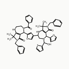 CC1(C)C2=C(C(=O)N1Cc1ccccc1)C(c1cc(C3CN(C(O)c4cccs4)C(c4ccco4)C4=C(N3)C(C)(C)N(Cc3ccccc3)C4=O)co1)N(C(=O)c1ccccc1)CCN2